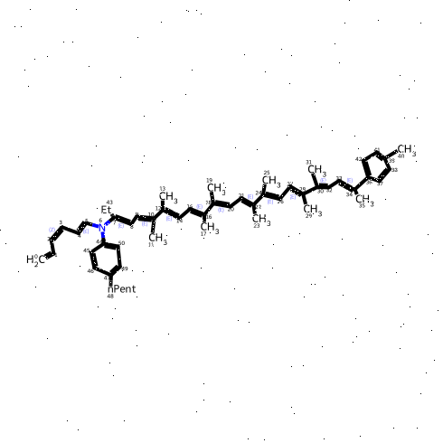 C=C/C=C\C=C\N(/C(=C/C=C(C)/C(C)=C/C=C(C)/C(C)=C/C=C(C)/C(C)=C/C=C(C)/C(C)=C/C=C(\C)c1ccc(C)cc1)CC)c1ccc(CCCCC)cc1